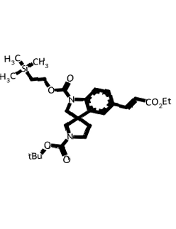 CCOC(=O)/C=C/c1ccc2c(c1)C1(CCN(C(=O)OC(C)(C)C)C1)CN2C(=O)OCC[Si](C)(C)C